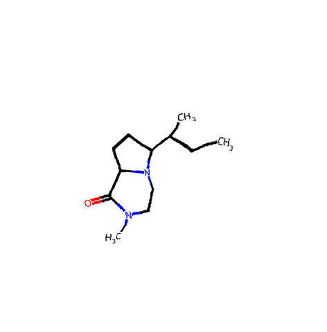 CCC(C)C1CCC2C(=O)N(C)CCN21